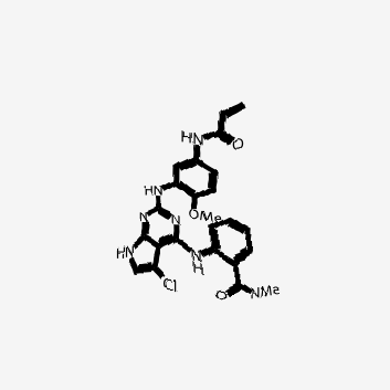 C=CC(=O)Nc1ccc(OC)c(Nc2nc(Nc3ccccc3C(=O)NC)c3c(Cl)c[nH]c3n2)c1